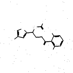 CC(=O)NC(CCC(=O)c1c(F)cccc1F)c1cc(Br)cs1